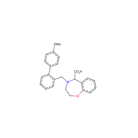 COc1ccc(-c2ccccc2CN2CCOc3ccccc3C2C(=O)O)cc1